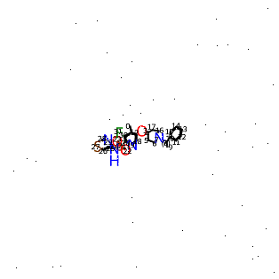 Cc1c(OC2CCN([C@H](C)c3ccccc3)CC2)cnc(S(=O)(=O)Nc2cscn2)c1F